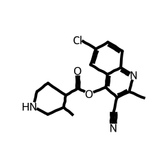 Cc1nc2ccc(Cl)cc2c(OC(=O)C2CCNCC2C)c1C#N